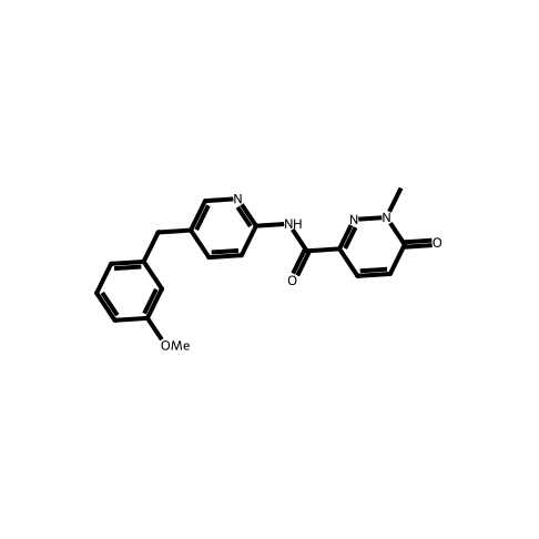 COc1cccc(Cc2ccc(NC(=O)c3ccc(=O)n(C)n3)nc2)c1